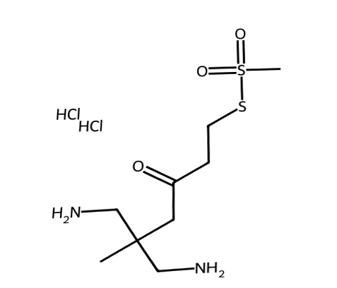 CC(CN)(CN)CC(=O)CCSS(C)(=O)=O.Cl.Cl